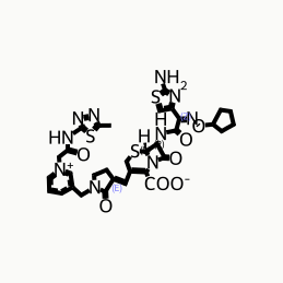 Cc1nnc(NC(=O)C[n+]2cccc(CN3CC/C(=C\C4=C(C(=O)[O-])N5C(=O)[C@@H](NC(=O)/C(=N\OC6CCCC6)c6csc(N)n6)[C@H]5SC4)C3=O)c2)s1